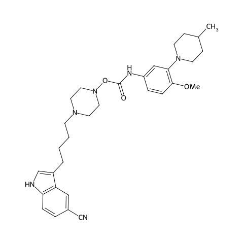 COc1ccc(NC(=O)ON2CCN(CCCCc3c[nH]c4ccc(C#N)cc34)CC2)cc1N1CCC(C)CC1